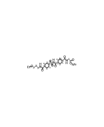 CCCOC(=O)CNC(=O)c1ccc(C(=O)NS(=O)(=O)c2ccc(C(=O)NCCCOCC)cc2)cn1